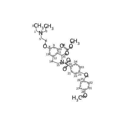 CCN(CC)CCOc1ccc2c(c1)CCN(S(=O)(=O)c1ccc(Oc3ccc(OC)cc3)cc1)C2OC(=O)OC